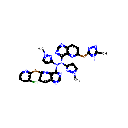 Cc1nnc(Sc2ccc3ncnc(N(c4ccn(C)n4)N(c4ccn(C)n4)c4ncnc5ccc(Sc6ncccc6Cl)nc45)c3n2)[nH]1